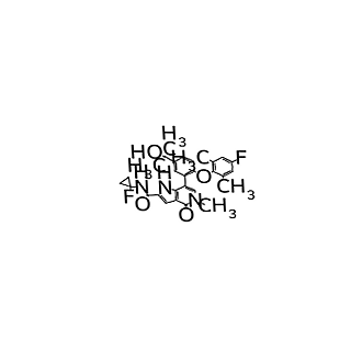 Cc1cc(F)cc(C)c1Oc1ccc(C(C)(C)O)cc1-c1cn(C)c(=O)c2cc(C(=O)NC3(F)CC3)[nH]c12